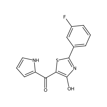 O=C(c1ccc[nH]1)c1sc(-c2cccc(F)c2)nc1O